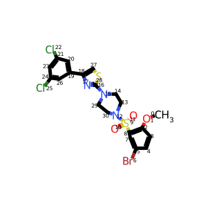 COc1ccc(Br)cc1S(=O)(=O)N1CCN(c2nc(-c3cc(Cl)cc(Cl)c3)cs2)CC1